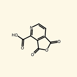 O=C1OC(=O)c2c1ccnc2C(=O)O